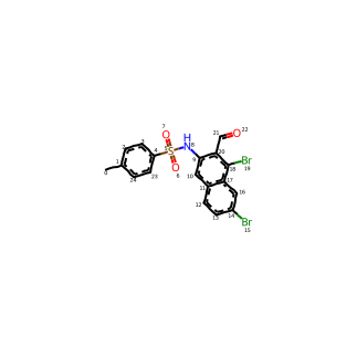 Cc1ccc(S(=O)(=O)Nc2cc3ccc(Br)cc3c(Br)c2C=O)cc1